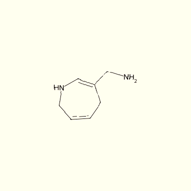 NCC1=CNCC=CC1